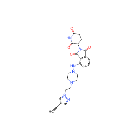 C#Cc1cnn(CCN2CCN(Nc3cccc4c3C(=O)N(C3CCC(=O)NC3=O)C4=O)CC2)c1